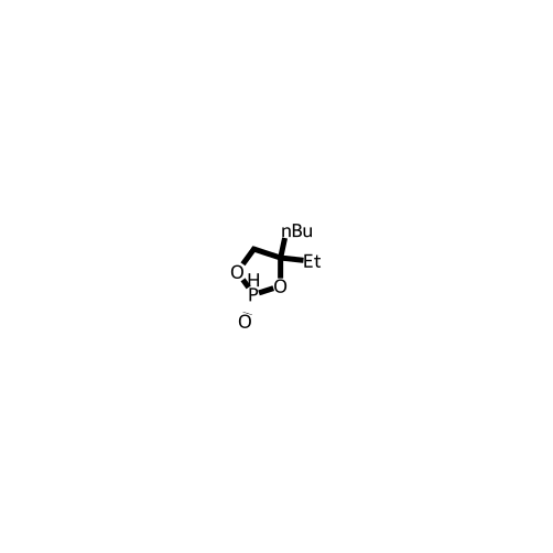 CCCCC1(CC)CO[PH](=O)O1